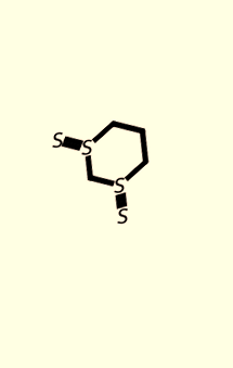 S=S1CCCS(=S)C1